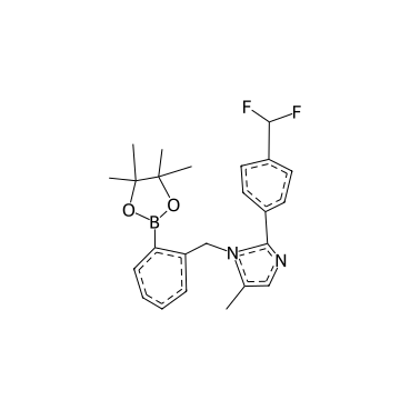 Cc1cnc(-c2ccc(C(F)F)cc2)n1Cc1ccccc1B1OC(C)(C)C(C)(C)O1